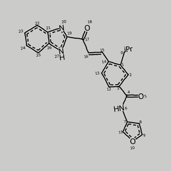 CC(C)c1cc(C(=O)Nc2ccoc2)ccc1C=CC(=O)c1nc2ccccc2[nH]1